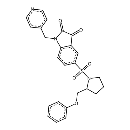 O=C1C(=O)N(Cc2ccncc2)c2ccc(S(=O)(=O)N3CCCC3COc3ccccc3)cc21